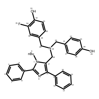 CCCCn1c(-c2ccccc2)nc(-c2ccccc2)c1CN(Cc1ccc(O)cc1)Cc1ccc(O)c(F)c1